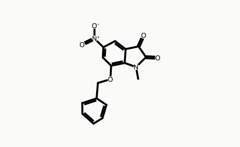 CN1C(=O)C(=O)c2cc([N+](=O)[O-])cc(OCc3ccccc3)c21